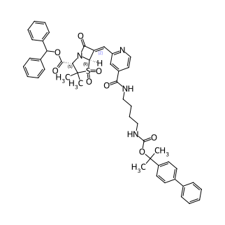 CC(C)(OC(=O)NCCCCNC(=O)c1ccnc(/C=C2/C(=O)N3[C@@H](C(=O)OC(c4ccccc4)c4ccccc4)C(C)(C)S(=O)(=O)[C@H]23)c1)c1ccc(-c2ccccc2)cc1